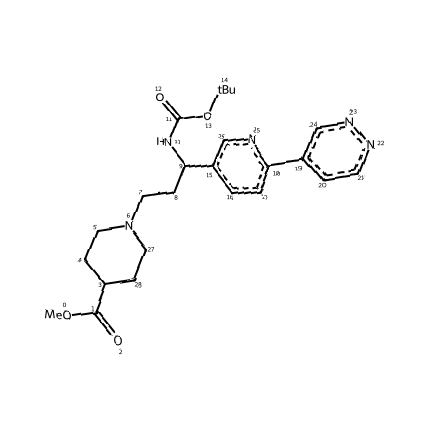 COC(=O)C1CCN(CCC(NC(=O)OC(C)(C)C)c2ccc(-c3ccnnc3)nc2)CC1